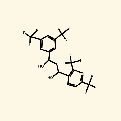 OC(CC(O)c1ccc(C(F)(F)F)nc1C(F)(F)F)c1cc(C(F)(F)F)cc(C(F)(F)F)c1